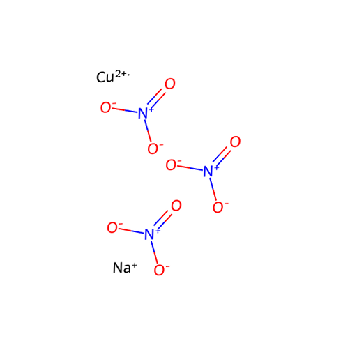 O=[N+]([O-])[O-].O=[N+]([O-])[O-].O=[N+]([O-])[O-].[Cu+2].[Na+]